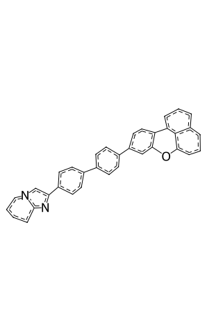 c1cc2c3c(cccc3c1)-c1ccc(-c3ccc(-c4ccc(-c5cn6ccccc6n5)cc4)cc3)cc1O2